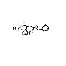 CC(CC(=O)OCc1ccccc1)c1ncnn1C